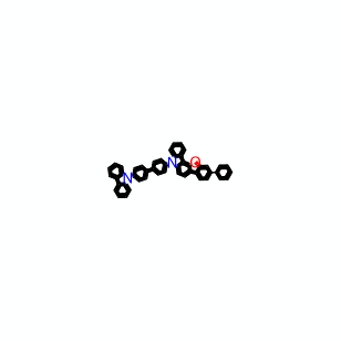 C1=CC[C@@H](c2ccc3c(c2)oc2c3ccc3c2c2ccccc2n3-c2ccc(-c3ccc(-n4c5ccccc5c5ccccc54)cc3)cc2)C=C1